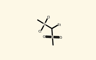 CCC([Si](C)(Cl)Cl)S(C)(=O)=O